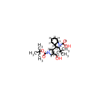 CC(C)(C)OC(=O)N1CC(CO)C(c2c(C(C)(C)C)n(C(=O)O)c3ccccc23)C1